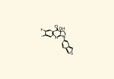 Cc1cc2c(cc1F)C(=O)[C@]1(O)CCN(c3ccc4cscc4c3)C1=N2